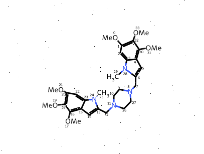 COc1cc2c(cc(CN3CCN(Cc4cc5c(OC)c(OC)c(OC)cc5n4C)CC3)n2C)c(OC)c1OC